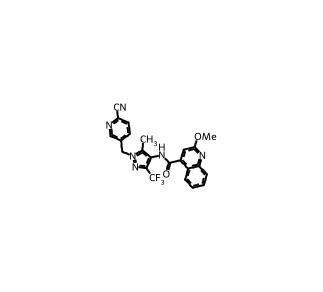 COc1cc(C(=O)Nc2c(C(F)(F)F)nn(Cc3ccc(C#N)nc3)c2C)c2ccccc2n1